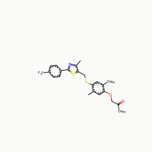 COC(=O)COc1cc(C)c(SCc2sc(-c3ccc(C(F)(F)F)cc3)nc2C)cc1OC